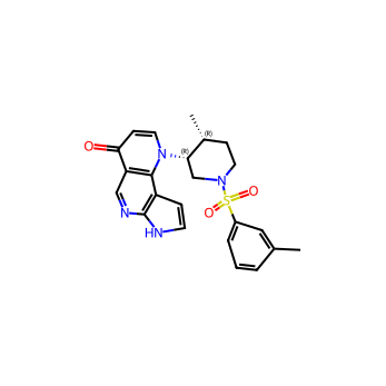 Cc1cccc(S(=O)(=O)N2CC[C@@H](C)[C@@H](n3ccc(=O)c4cnc5[nH]ccc5c43)C2)c1